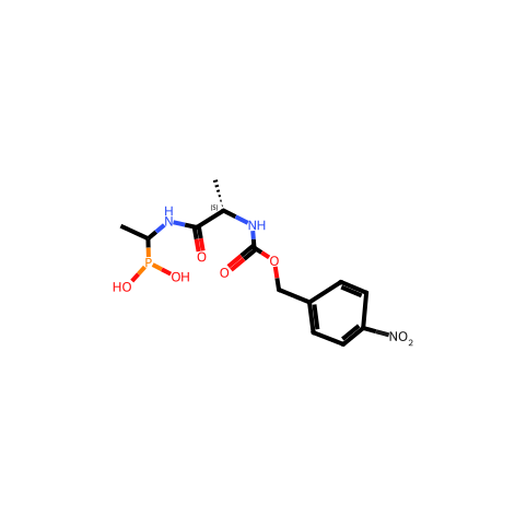 CC(NC(=O)[C@H](C)NC(=O)OCc1ccc([N+](=O)[O-])cc1)P(O)O